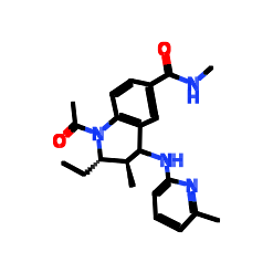 CC[C@H]1[C@H](C)C(Nc2cccc(C)n2)c2cc(C(=O)NC)ccc2N1C(C)=O